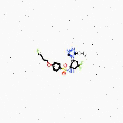 Cc1nncn1[C@H]1C[C@@H](NS(=O)(=O)c2ccc(OCCCCF)cc2)CC(F)(F)C1